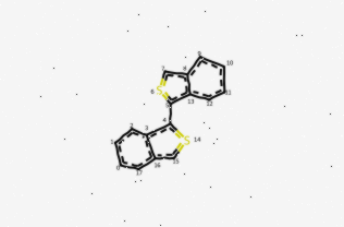 c1ccc2c(-c3scc4ccccc34)scc2c1